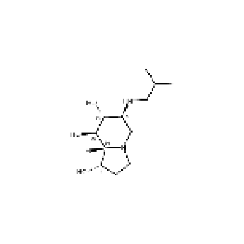 CC(C)CN[C@H]1CN2CC[C@H](O)[C@@H]2[C@@H](O)[C@@H]1O